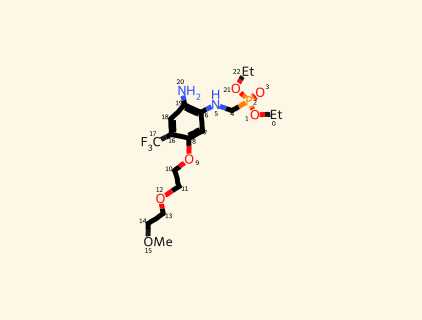 CCOP(=O)(CNc1cc(OCCOCCOC)c(C(F)(F)F)cc1N)OCC